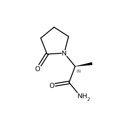 C[C@@H](C(N)=O)N1CCCC1=O